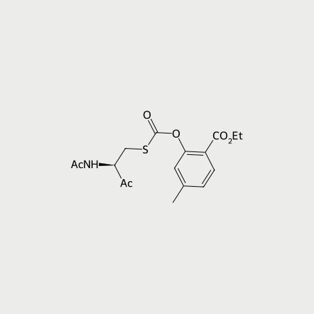 CCOC(=O)c1ccc(C)cc1OC(=O)SC[C@H](NC(C)=O)C(C)=O